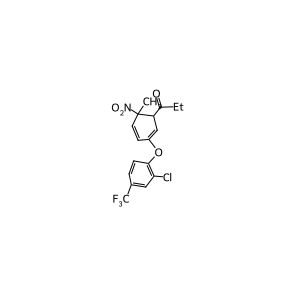 CCC(=O)C1C=C(Oc2ccc(C(F)(F)F)cc2Cl)C=CC1(C)[N+](=O)[O-]